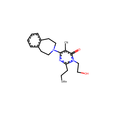 CSCCc1nc(N2CCc3ccccc3CC2)c(C#N)c(=O)n1CCO